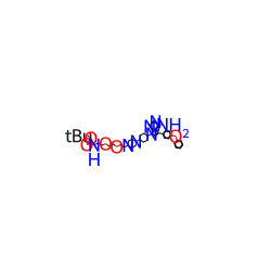 CC(C)(C)OC(=O)NCCOCCOCCN1CCN(C2CCC(n3cc(-c4ccc(Oc5ccccc5)cc4)c4c(N)ncnc43)CC2)CC1